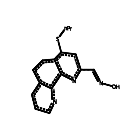 CCCSc1cc(C=NO)nc2c1ccc1cccnc12